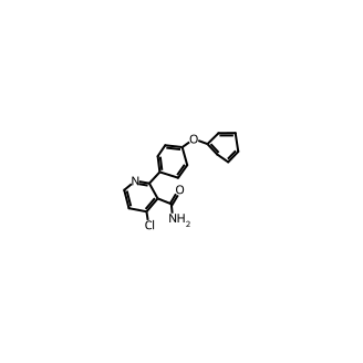 NC(=O)c1c(Cl)ccnc1-c1ccc(Oc2ccccc2)cc1